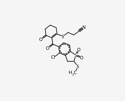 CSC1Cc2c(ccc(C(=O)C3=C(SCCC#N)CCCC3=O)c2Cl)S1(=O)=O